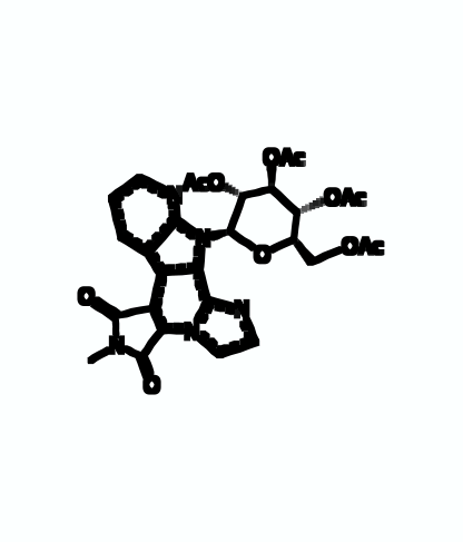 CC(=O)OC[C@H]1O[C@@H](n2c3ncccc3c3c4c(n5ccnc5c32)C(=O)N(C)C4=O)[C@H](OC(C)=O)[C@@H](OC(C)=O)[C@@H]1OC(C)=O